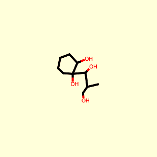 CC(CO)C(O)C1(O)CCCCC1O